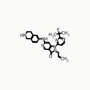 C=CCn1c(=O)c2cnc(Nc3ccc4c(c3)CCNC4)cc2n1-c1ccnc(C(C)(C)F)n1